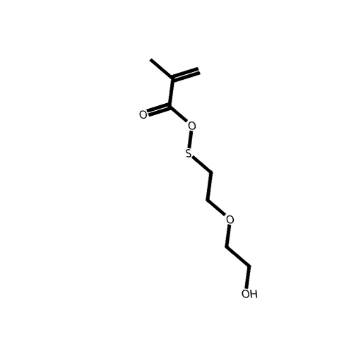 C=C(C)C(=O)OSCCOCCO